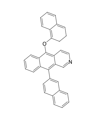 C1=c2ccccc2=C(Oc2c3ccccc3c(-c3ccc4ccccc4c3)c3cnccc23)CC1